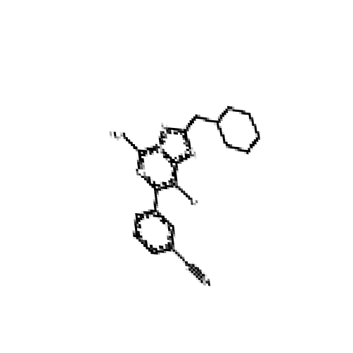 N#Cc1cccc(-c2nc(N)n3nc(CC4CCCCC4)nc3c2Br)c1